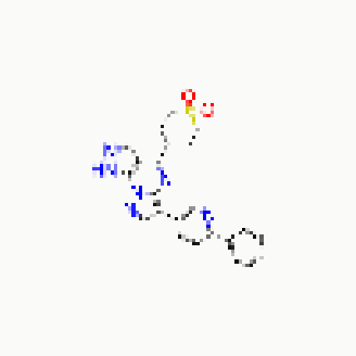 O=S1(=O)CCC(c2nc3c(-c4ccc(-c5ccccc5)nc4)cnn3c3[nH]ncc23)CC1